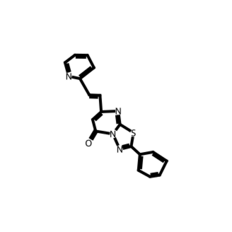 O=c1cc(/C=C/c2ccccn2)nc2sc(-c3ccccc3)nn12